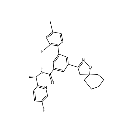 Cc1ccc(-c2cc(C(=O)N[C@H](C)c3ccc(F)cn3)cc(C3=NOC4(CCCCC4)C3)c2)c(F)c1